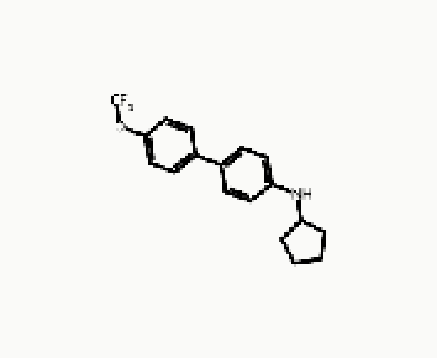 FC(F)(F)Oc1ccc(-c2ccc(NC3CCCC3)cc2)cc1